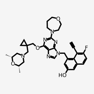 C#Cc1c(F)ccc2cc(O)cc(Cn3cnc4c(OCC5(CN6C[C@@H](C)O[C@@H](C)C6)CC5)nc(N5CCCOCC5)nc43)c12